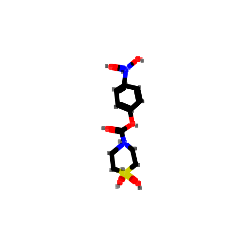 O=C(Oc1ccc([N+](=O)[O-])cc1)N1CCS(=O)(=O)CC1